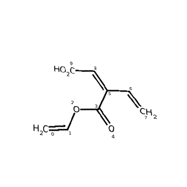 C=COC(=O)C(C=C)=CC(=O)O